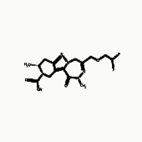 C[C@@H]1Cc2nn3c(c2CN1C(=O)O)C(=O)N(C)N=C(COCC(F)F)C3